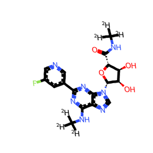 [2H]C([2H])([2H])NC(=O)[C@H]1O[C@@H](n2cnc3c(NC([2H])([2H])[2H])nc(-c4cncc(F)c4)nc32)[C@H](O)[C@@H]1O